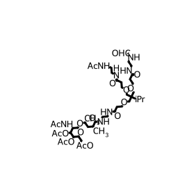 CC(=O)NCCNC(=O)CCOCC(COCCC(=O)NCCNC=O)(COCCC(=O)NCCNC(=O)C(C)CC(C)OC1OC(COC(C)=O)C(OC(C)=O)C(OC(C)=O)C1NC(C)=O)C(C)C